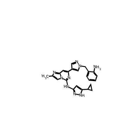 Cc1cn2c(Nc3cc(C4CC4)[nH]n3)nc(-c3cnn(Cc4ccccc4N)c3)cc2n1